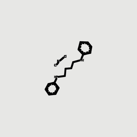 [Cl][Ni][Cl].c1ccc(PCCCCPc2ccccc2)cc1